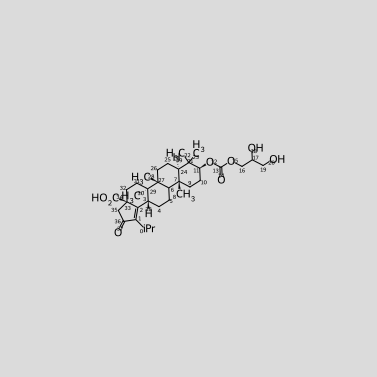 CC(C)C1=C2[C@H]3CCC4[C@@]5(C)CC[C@H](OC(=O)OCC(O)CO)C(C)(C)[C@@H]5CC[C@@]4(C)[C@]3(C)CC[C@@]2(C(=O)O)CC1=O